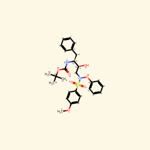 COc1ccc(S(=O)(=O)N(C[C@H](O)[C@H](Cc2ccccc2)NC(=O)OC(C)(C)C)Oc2ccccc2)cc1